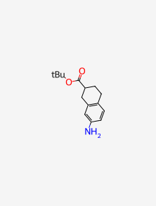 CC(C)(C)OC(=O)C1CCc2ccc(N)cc2C1